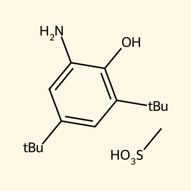 CC(C)(C)c1cc(N)c(O)c(C(C)(C)C)c1.CS(=O)(=O)O